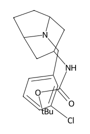 CC(C)(C)OC(=O)NC1CC2CCC(C1)N2Cc1cccc(Cl)c1